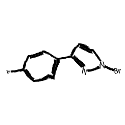 Fc1ccc(-c2ccn(Br)n2)cc1